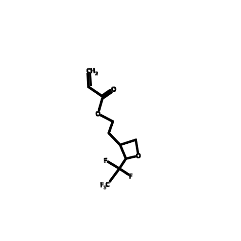 C=CC(=O)OCCC1COC1C(F)(F)C(F)(F)F